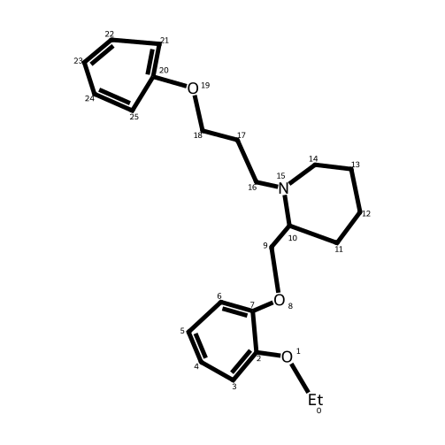 CCOc1ccccc1OCC1CCCCN1CCCOc1ccccc1